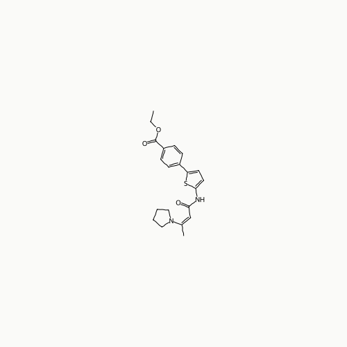 CCOC(=O)c1ccc(-c2ccc(NC(=O)C=C(C)N3CCCC3)s2)cc1